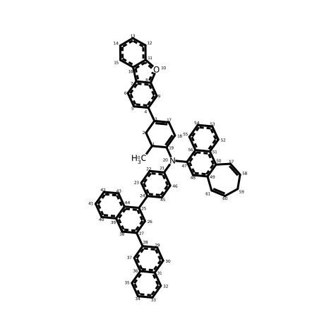 CC1CC(c2ccc3c(c2)oc2ccccc23)=CC=C1N(c1ccc(-c2cc(-c3ccc4ccccc4c3)cc3ccccc23)cc1)c1cc2c(c3ccccc13)C=CCC=C2